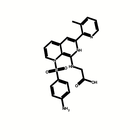 Cc1cccnc1C1=CC2=CC=CN(S(=O)(=O)c3ccc(N)cc3)C2=C(NCC(=O)O)N1